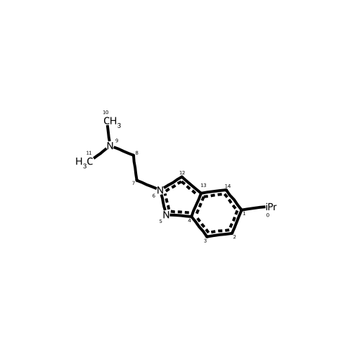 CC(C)c1ccc2nn(CCN(C)C)cc2c1